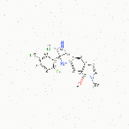 CC(C)n1ccc2ccc(NC3(c4c(F)ccc(Cl)c4Cl)CNC3)cc2c1=O